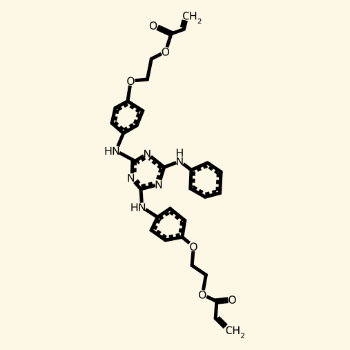 C=CC(=O)OCCOc1ccc(Nc2nc(Nc3ccccc3)nc(Nc3ccc(OCCOC(=O)C=C)cc3)n2)cc1